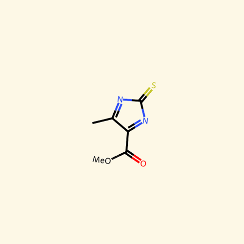 COC(=O)C1=NC(=S)N=C1C